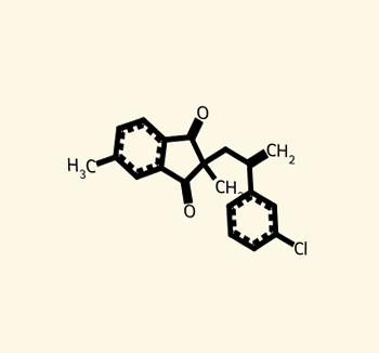 C=C(CC1(C)C(=O)c2ccc(C)cc2C1=O)c1cccc(Cl)c1